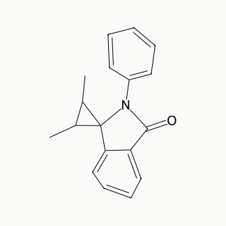 CC1C(C)C12c1ccccc1C(=O)N2c1ccccc1